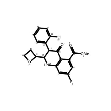 COC(=O)c1cc(F)cc2c1C(=O)C(c1ccccc1Cl)C(C1CCO1)N2